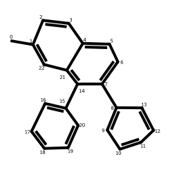 Cc1ccc2ccc(-c3ccccc3)c(-c3ccccc3)c2c1